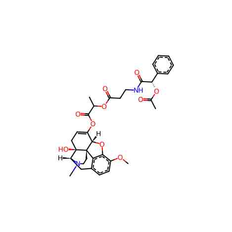 COc1ccc2c3c1O[C@H]1C(OC(=O)C(C)OC(=O)CCNC(=O)[C@@H](OC(C)=O)c4ccccc4)=CC[C@@]4(O)[C@@H](C2)N(C)CC[C@]314